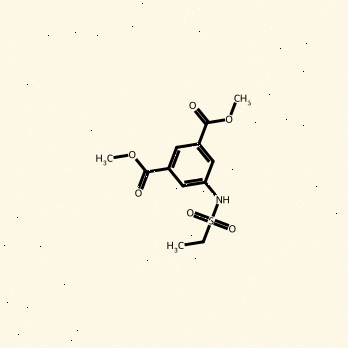 CCS(=O)(=O)Nc1cc(C(=O)OC)cc(C(=O)OC)c1